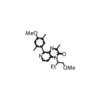 CCC(COC)n1c(=O)c(C)nc2c(-c3cc(C)c(OC)cc3C)nccc21